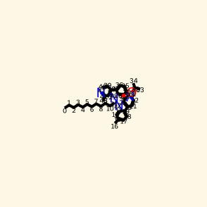 CCCCCCCCCCCC(n1c2cc(C)ccc2c2ccnc(C)c21)n1c2cc(OC(C)C)ccc2c2ccnc(C)c21